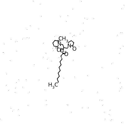 CCCCCCCCCCCC(=O)OC(CN1CCCC1=O)CN1[C@H](C)CCC[C@@H]1C